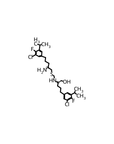 CC(C)c1cc(CCC[C@@H](N)CSCN[C@@H](CO)CCCc2cc(Cl)c(F)c(C(C)C)c2)cc(Cl)c1F